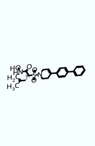 C=C(C)C[C@H](C(=O)NO)S(=O)(=O)N1CC=C(c2ccc(-c3ccccc3)cc2)CC1